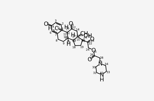 C[C@]12C=CC(=O)C=C1CC[C@@H]1[C@@H]2C(=O)C[C@@]2(C)[C@H]1CC[C@]2(O)C(=O)COC(=O)CN1CCNCC1